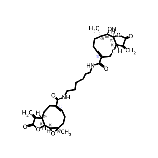 C=C1C(=O)O[C@@H]2[C@H](O)[C@@H](C)CC/C=C(/C(=O)NCCCCCCNC(=O)/C3=C/CC[C@@]4(C)O[C@H]4[C@H]4OC(=O)C(=C)[C@@H]4CC3)CC[C@@H]12